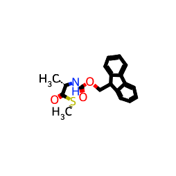 CSC(=O)[C@H](C)NC(=O)OCC1c2ccccc2-c2ccccc21